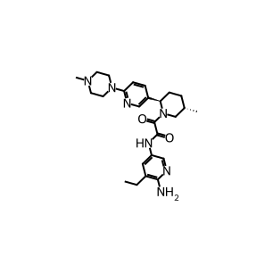 CCc1cc(NC(=O)C(=O)N2C[C@@H](C)CC[C@@H]2c2ccc(N3CCN(C)CC3)nc2)cnc1N